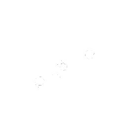 COc1ccccc1C1CC(c2cc(NC(=O)Cc3cccnc3)[nH]n2)C1